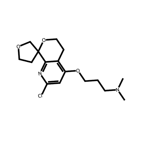 CN(C)CCCOc1cc(Cl)nc2c1CCOC21CCOC1